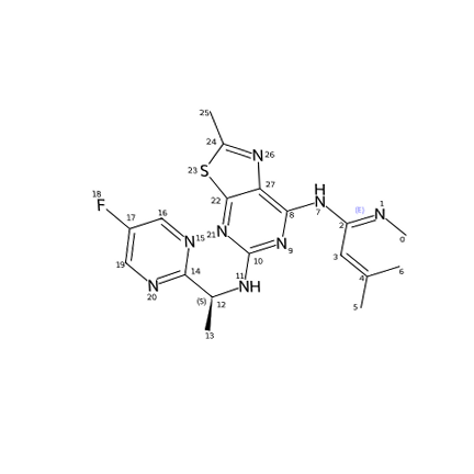 C/N=C(\C=C(C)C)Nc1nc(N[C@@H](C)c2ncc(F)cn2)nc2sc(C)nc12